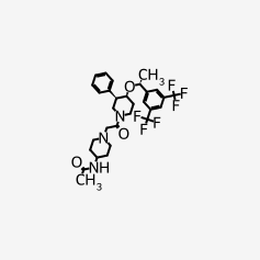 CC(=O)NC1CCN(CC(=O)N2CC[C@H](O[C@H](C)c3cc(C(F)(F)F)cc(C(F)(F)F)c3)[C@H](c3ccccc3)C2)CC1